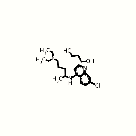 CCN(CC)CCCC(C)Nc1ccnc2cc(Cl)ccc12.OCCCO